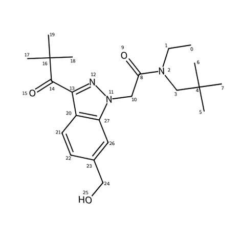 CCN(CC(C)(C)C)C(=O)Cn1nc(C(=O)C(C)(C)C)c2ccc(CO)cc21